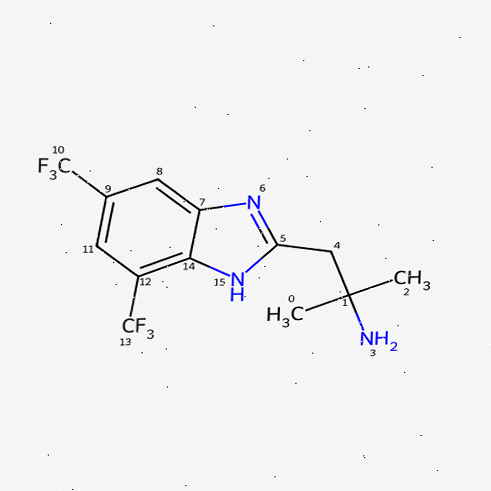 CC(C)(N)Cc1nc2cc(C(F)(F)F)cc(C(F)(F)F)c2[nH]1